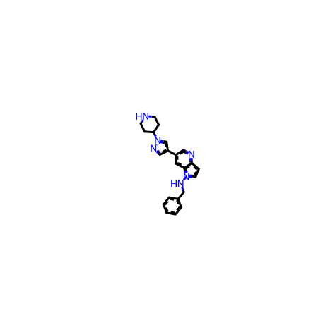 c1ccc(CNn2ccc3ncc(-c4cnn(C5CCNCC5)c4)cc32)cc1